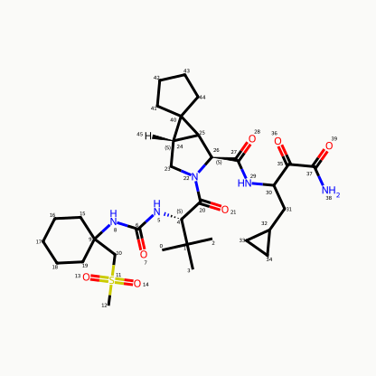 CC(C)(C)[C@H](NC(=O)NC1(CS(C)(=O)=O)CCCCC1)C(=O)N1C[C@H]2C([C@H]1C(=O)NC(CC1CC1)C(=O)C(N)=O)C21CCCC1